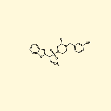 C=CC(c1cc2ccccc2s1)S(=O)(=O)N1CCN(Cc2cccc(O)c2)C(=O)C1